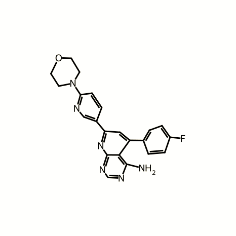 Nc1ncnc2nc(-c3ccc(N4CCOCC4)nc3)cc(-c3ccc(F)cc3)c12